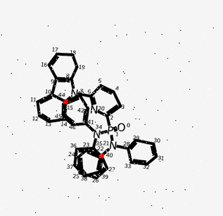 O=P(c1cccc(-n2c3c(c4ccccc42)C=CCC3)n1)(N(c1ccccc1)c1ccccc1)N(c1ccccc1)c1ccccc1